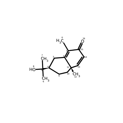 CC1=C2C[C@H](C(C)(C)O)CC[C@@]2(C)C=CC1=O